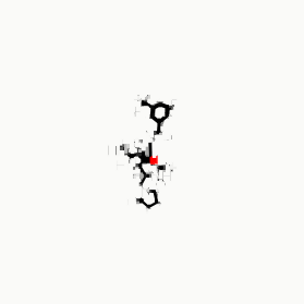 N=C1N[C@H]2C(CN3C(=O)CCC3=O)NC(=N)N3CC(NC(=O)c4cc(F)cc(C(F)(F)F)c4)C(O)(O)[C@]23N1